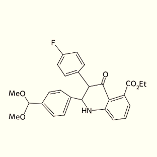 CCOC(=O)c1cccc2c1C(=O)C(c1ccc(F)cc1)C(c1ccc(C(OC)OC)cc1)N2